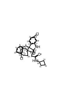 O=C(CNC1(C2(Cc3cccc(Cl)c3)C(=O)Nc3cc(Cl)ccc32)CCCCC1)NC1CCC1